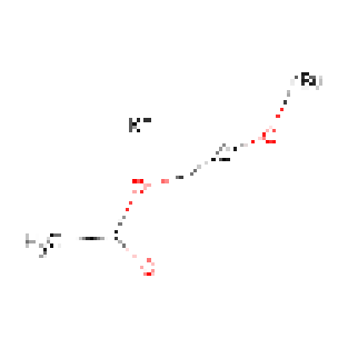 CCCCOCCOC(C)[O-].[K+]